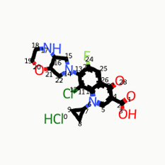 Cl.O=C(O)c1cn(C2CC2)c2c(Cl)c(N3CC4NCCOC4C3)c(F)cc2c1=O